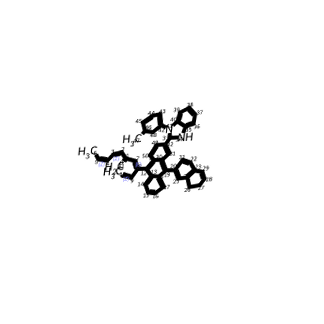 C=C(/C=C\C=C/C)/C=C(\C=C/C)c1c2ccccc2c(-c2ccc3c(c2)CCC=C3)c2cc(C3Nc4ccccc4N3C3=CC=CC(C)C3)ccc12